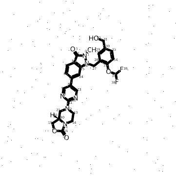 Cn1c(=O)c2ccc(-c3cnc(N4CCN5C(=O)OC[C@@H]5C4)nc3)cc2n1Cc1cc(CO)ccc1OC(F)F